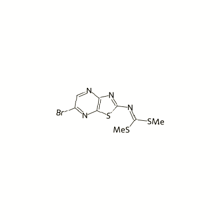 CSC(=Nc1nc2ncc(Br)nc2s1)SC